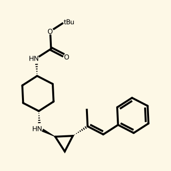 C/C(=C\c1ccccc1)[C@@H]1C[C@H]1N[C@H]1CC[C@@H](NC(=O)OC(C)(C)C)CC1